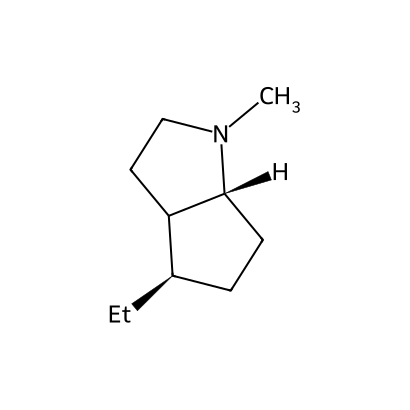 CC[C@@H]1CC[C@@H]2C1CCN2C